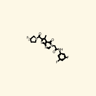 Cc1c(C(=O)N2CC[C@H](F)C2)sc2ncn(CC(=O)Nc3cc(F)cc(F)c3)c(=O)c12